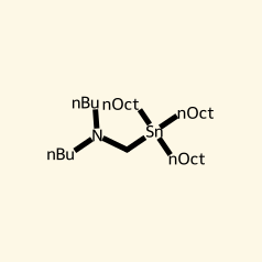 CCCCCCC[CH2][Sn]([CH2]CCCCCCC)([CH2]CCCCCCC)[CH2]N(CCCC)CCCC